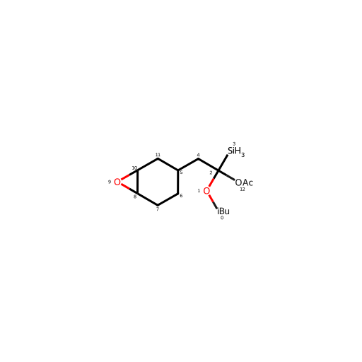 CCC(C)OC([SiH3])(CC1CCC2OC2C1)OC(C)=O